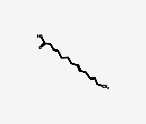 CCC=CCC=CCCCC=CCC(=O)O